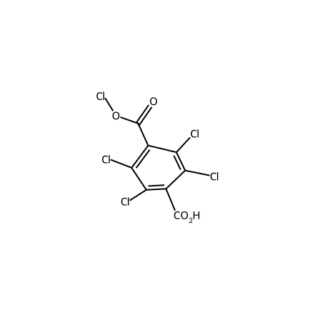 O=C(O)c1c(Cl)c(Cl)c(C(=O)OCl)c(Cl)c1Cl